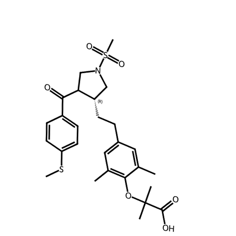 CSc1ccc(C(=O)C2CN(S(C)(=O)=O)C[C@@H]2CCc2cc(C)c(OC(C)(C)C(=O)O)c(C)c2)cc1